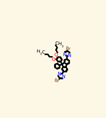 CCCCCOc1ccc(C2(c3ccccc3)c3cc(-c4ncc(Br)cn4)ccc3-c3ccc(-c4ncc(Br)cn4)cc32)cc1OCCCCC